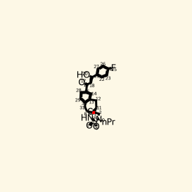 CCCN1CC2(NS1(=O)=O)C1CCC2Cc2cc(C(=O)C=C(O)c3ccc(F)cc3)ccc2C1